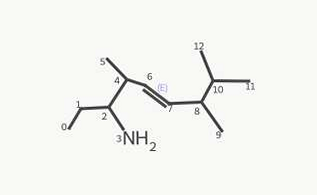 CCC(N)C(C)/C=C/C(C)C(C)C